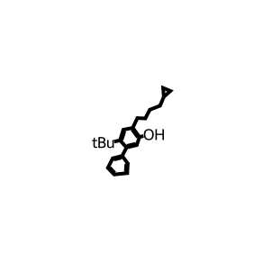 CC(C)(C)c1cc(CCCCC2CC2)c(O)cc1-c1ccccc1